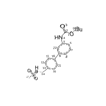 CC(C)(C)OC(=O)Nc1cccc(-c2ccc(CNS(C)(=O)=O)cc2)c1